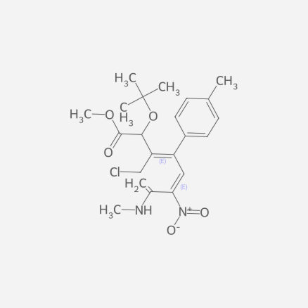 C=C(NC)/C(=C\C(=C(/CCl)C(OC(C)(C)C)C(=O)OC)c1ccc(C)cc1)[N+](=O)[O-]